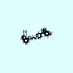 Fc1ccc2c(C3CCN(CCCOc4cccc5cc[nH]c45)CC3)noc2c1